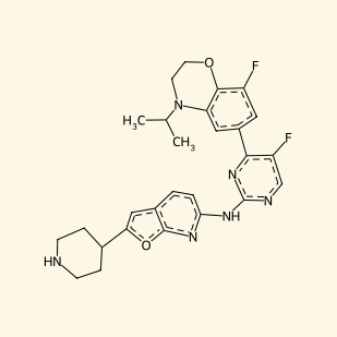 CC(C)N1CCOc2c(F)cc(-c3nc(Nc4ccc5cc(C6CCNCC6)oc5n4)ncc3F)cc21